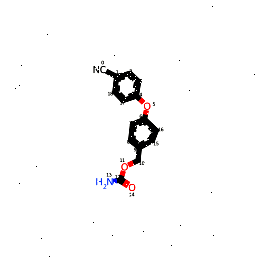 N#Cc1ccc(Oc2ccc(COC(N)=O)cc2)cc1